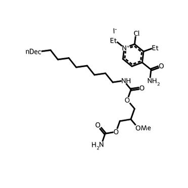 CCCCCCCCCCCCCCCCCCNC(=O)OCC(COC(N)=O)OC.CCc1c(C(N)=O)cc[n+](CC)c1Cl.[I-]